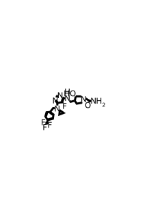 NC(=O)CN1CCC(CNc2ncnc(N(Cc3ccc(C(F)(F)F)cc3)C3CC3)c2F)C(O)C1